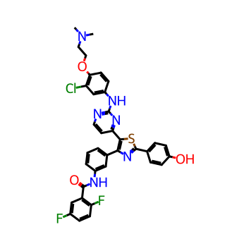 CN(C)CCOc1ccc(Nc2nccc(-c3sc(-c4ccc(O)cc4)nc3-c3cccc(NC(=O)c4cc(F)ccc4F)c3)n2)cc1Cl